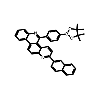 CC1(C)OB(c2ccc(-c3nc4ccccc4c4ccc5nc(-c6ccc7ccccc7c6)ccc5c34)cc2)OC1(C)C